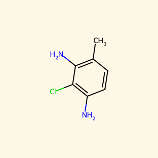 Cc1ccc(N)c(Cl)c1N